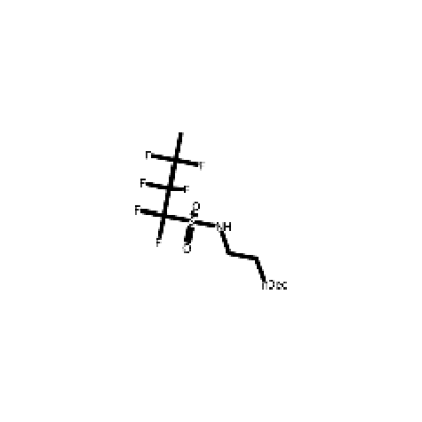 CCCCCCCCCCCCNS(=O)(=O)C(F)(F)C(F)(F)C(C)(F)F